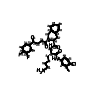 Cc1cc(NC(=O)[C@H](CCCCN)NC(=O)[C@@H]2Cc3ccccc3CN2C(=O)CCC(=O)c2ccc(F)c(F)c2)ccc1Cl